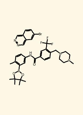 Brc1ccc2cnncc2c1.Cc1ccc(NC(=O)c2ccc(CN3CCN(C)CC3)c(C(F)(F)F)c2)cc1B1OC(C)(C)C(C)(C)O1